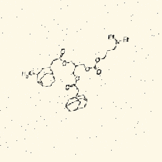 CCN(CC)CCCOC(=O)OCC(COC(=O)CC1CC(C)C=C2CCC1CC2)COC(=O)CC12CC3CC(CC(C3)C1)C2